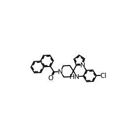 O=C(c1cccc2ccccc12)N1CCC2(CC1)Nc1ccc(Cl)cc1-n1cccc12